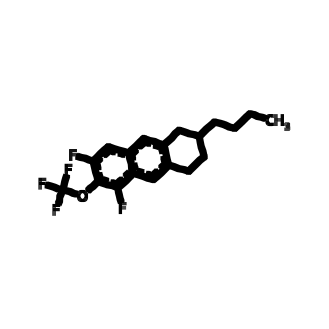 CCCCC1CCc2cc3c(F)c(OC(F)(F)F)c(F)cc3cc2C1